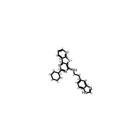 c1cnc2sc3c(NCCc4ccc5[nH]cnc5c4)nc(C4CCCCC4)nc3c2c1